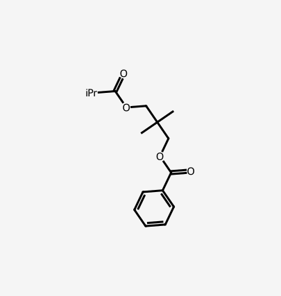 CC(C)C(=O)OCC(C)(C)COC(=O)c1ccccc1